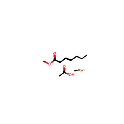 CC(=O)O.CCCCCCC(=O)OC.CS